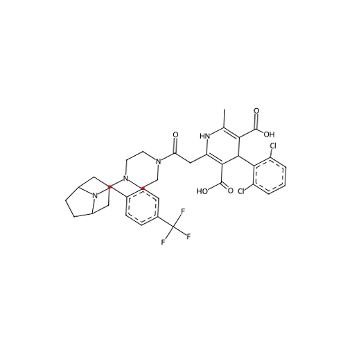 CC1=C(C(=O)O)C(c2c(Cl)cccc2Cl)C(C(=O)O)=C(CC(=O)N2CCN(C3CC4CCC(C3)N4Cc3ccc(C(F)(F)F)cc3)CC2)N1